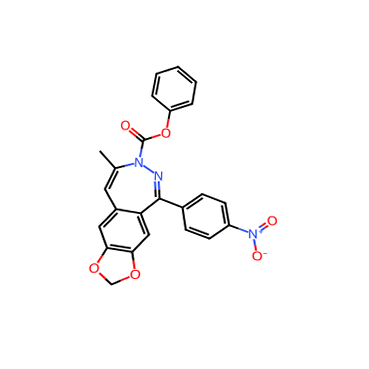 CC1=Cc2cc3c(cc2C(c2ccc([N+](=O)[O-])cc2)=NN1C(=O)Oc1ccccc1)OCO3